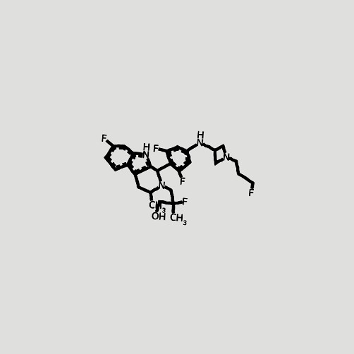 CC1Cc2c([nH]c3cc(F)ccc23)C(c2c(F)cc(NC3CN(CCCF)C3)cc2F)N1CC(C)(F)CO